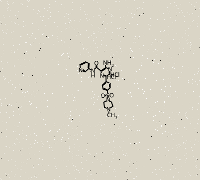 CN1CCN(S(=O)(=O)c2ccc(-c3cnc(N)c(C(=O)Nc4cccnc4)n3)cc2)CC1.Cl.Cl